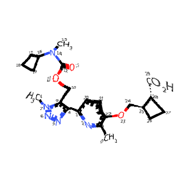 Cc1nc(-c2nnn(C)c2COC(=O)N(C)C2CCC2)ccc1OC[C@@H]1CC[C@H]1C(=O)O